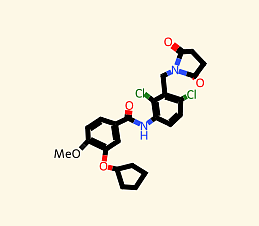 COc1ccc(C(=O)Nc2ccc(Cl)c(CN3C(=O)CCC3=O)c2Cl)cc1OC1CCCC1